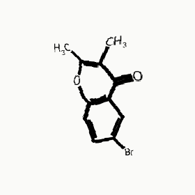 Cc1oc2ccc(Br)cc2c(=O)c1C